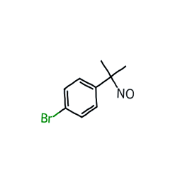 CC(C)(N=O)c1ccc(Br)cc1